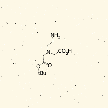 CC(C)(C)OC(=O)CN(CCN)CC(=O)O